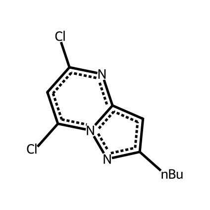 CCCCc1cc2nc(Cl)cc(Cl)n2n1